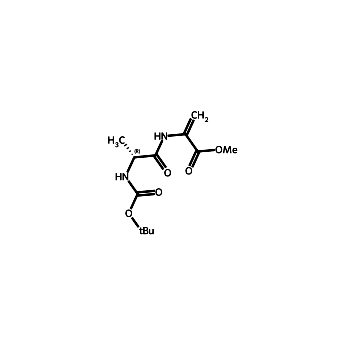 C=C(NC(=O)[C@@H](C)NC(=O)OC(C)(C)C)C(=O)OC